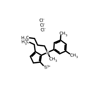 CCCC[Si](C)(C1=[C]([Ti+3])CC=C1CC)c1cc(C)cc(C)c1.[Cl-].[Cl-].[Cl-]